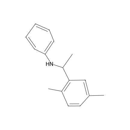 Cc1ccc(C)c(C(C)Nc2ccccc2)c1